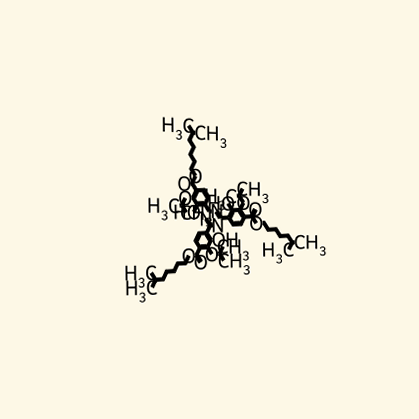 CC(C)CCCCCOC(=O)c1ccc(-c2nc(-c3ccc(C(=O)OCCCCCC(C)C)c(OC(C)C)c3O)nc(-c3ccc(C(=O)OCCCCCC(C)C)c(OC(C)C)c3O)n2)c(O)c1OC(C)C